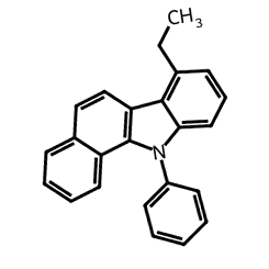 CCc1cccc2c1c1ccc3ccccc3c1n2-c1ccccc1